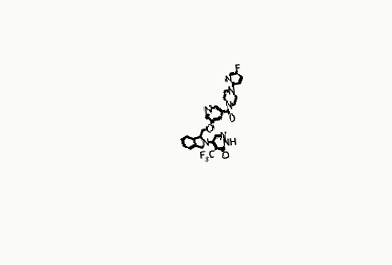 O=C(c1cncc(OCC2c3ccccc3CN2c2cn[nH]c(=O)c2C(F)(F)F)c1)N1CCN(c2ccc(F)cn2)CC1